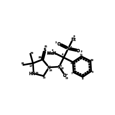 CCS(=O)(=O)C(NC)(c1ccccc1)[S+]([O-])N1CNC(C)(C)C1=S